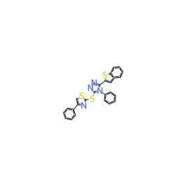 c1ccc(-c2csc(Sc3nnc(-c4cc5ccccc5s4)n3-c3ccccc3)n2)cc1